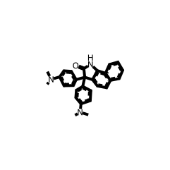 CN(C)c1ccc(C2(c3ccc(N(C)C)cc3)C(=O)Nc3c2ccc2ccccc32)cc1